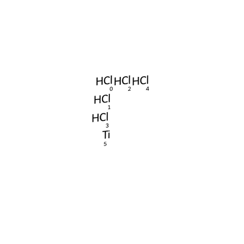 Cl.Cl.Cl.Cl.Cl.[Ti]